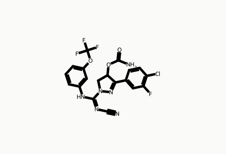 N#C/N=C(/Nc1cccc(OC(F)(F)F)c1)N1CC(OC(N)=O)C(c2ccc(Cl)c(F)c2)=N1